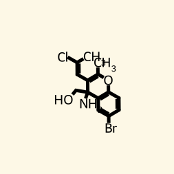 CC1=C(/C=C(\C)Cl)C(N)(CO)c2cc(Br)ccc2O1